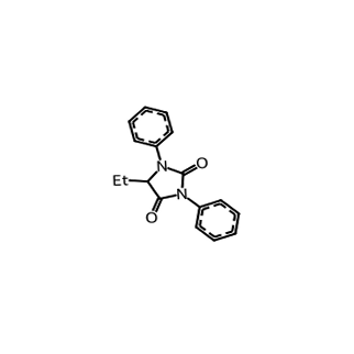 CCC1C(=O)N(c2ccccc2)C(=O)N1c1ccccc1